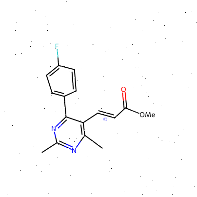 COC(=O)/C=C/c1c(C)nc(C)nc1-c1ccc(F)cc1